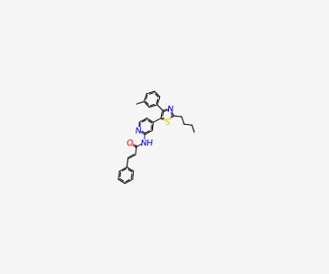 CCCCc1nc(-c2cccc(C)c2)c(-c2ccnc(NC(=O)C=Cc3ccccc3)c2)s1